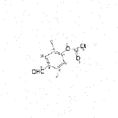 [CH2]CC(=O)Oc1cc(C)c(C=O)cc1C